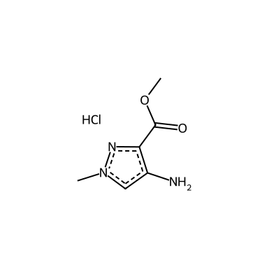 COC(=O)c1nn(C)cc1N.Cl